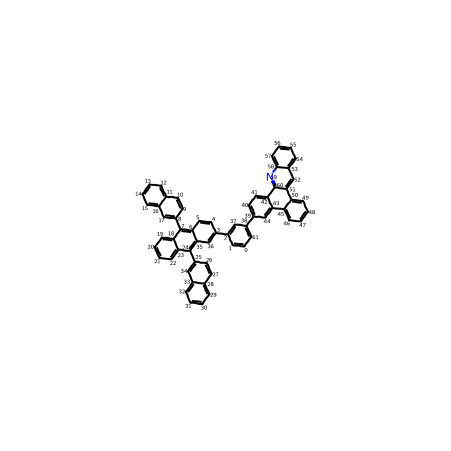 c1cc(-c2ccc3c(-c4ccc5ccccc5c4)c4ccccc4c(-c4ccc5ccccc5c4)c3c2)cc(-c2ccc3c(c2)c2ccccc2c2cc4ccccc4nc32)c1